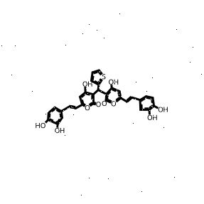 O=c1oc(C=Cc2ccc(O)c(O)c2)cc(O)c1C(c1cccs1)c1c(O)cc(C=Cc2ccc(O)c(O)c2)oc1=O